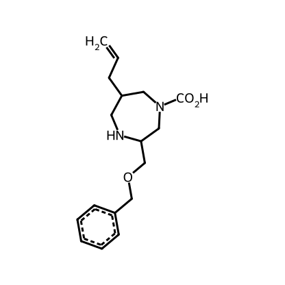 C=CCC1CNC(COCc2ccccc2)CN(C(=O)O)C1